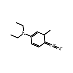 CCN(CC)C1=CC(C)C(=[N+]=[N-])C=C1